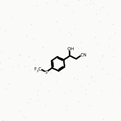 N#CCC(O)c1ccc(SC(F)(F)F)cc1